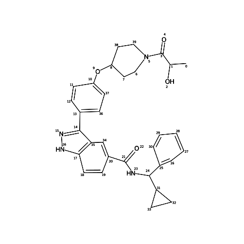 CC(O)C(=O)N1CCC(Oc2ccc(-c3n[nH]c4ccc(C(=O)NC(c5ccccc5)C5CC5)cc34)cc2)CC1